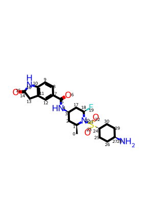 C[C@H]1C[C@@H](NC(=O)c2ccc3c(c2)CC(=O)N3)C[C@@H](F)N1S(=O)(=O)[C@H]1CC[C@H](N)CC1